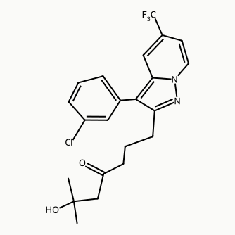 CC(C)(O)CC(=O)CCCc1nn2ccc(C(F)(F)F)cc2c1-c1cccc(Cl)c1